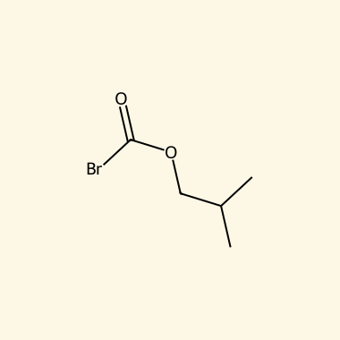 CC(C)COC(=O)Br